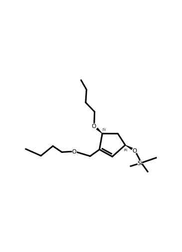 CCCCOCC1=C[C@H](O[Si](C)(C)C)C[C@@H]1OCCCC